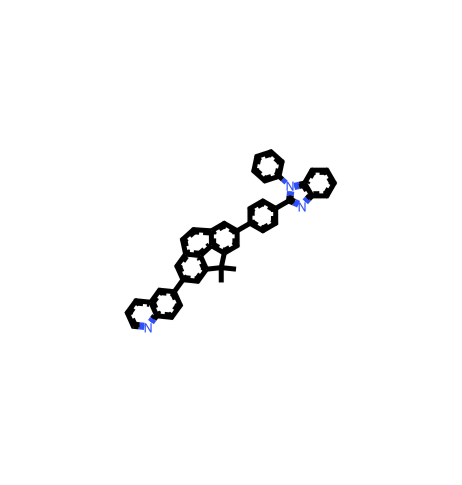 CC1(C)c2cc(-c3ccc(-c4nc5ccccc5n4-c4ccccc4)cc3)cc3ccc4cc(-c5ccc6ncccc6c5)cc1c4c23